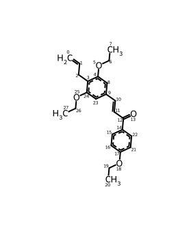 C=CCc1c(OCC)cc(C=CC(=O)c2ccc(OCC)cc2)cc1OCC